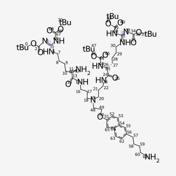 CC(C)(C)OC(=O)/N=C(\NCCCC[C@@H](N)C(=O)NCCCN(CCCNC(=O)[C@@H](CCCCN/C(=N\C(=O)OC(C)(C)C)NC(=O)OC(C)(C)C)NC(=O)OC(C)(C)C)CCOc1ccc2cc(CCCCN)ccc2c1)NC(=O)OC(C)(C)C